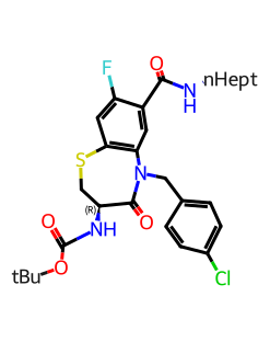 CCCCCCCNC(=O)c1cc2c(cc1F)SC[C@H](NC(=O)OC(C)(C)C)C(=O)N2Cc1ccc(Cl)cc1